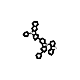 c1ccc(-c2ccc3c(c2)c2cc(-c4ccc5c(c4)c4cc6ccccc6cc4n5-c4ccccc4)ccc2n3-c2cccc3oc4ccccc4c23)cc1